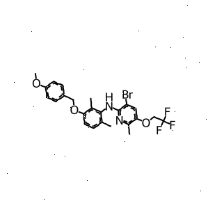 COc1ccc(COc2ccc(C)c(Nc3nc(C)c(OCC(F)(F)F)cc3Br)c2C)cc1